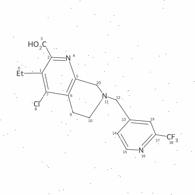 CCc1c(C(=O)O)nc2c(c1Cl)CCN(Cc1ccnc(C(F)(F)F)c1)C2